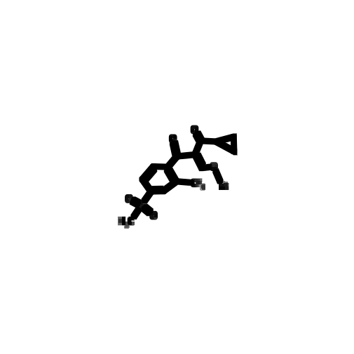 CCOC=C(C(=O)c1ccc(S(C)(=O)=O)cc1C(F)(F)F)C(=O)C1CC1